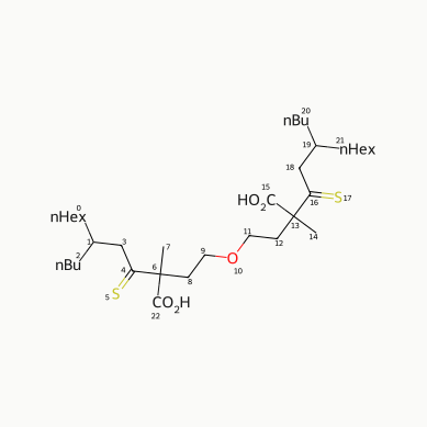 CCCCCCC(CCCC)CC(=S)C(C)(CCOCCC(C)(C(=O)O)C(=S)CC(CCCC)CCCCCC)C(=O)O